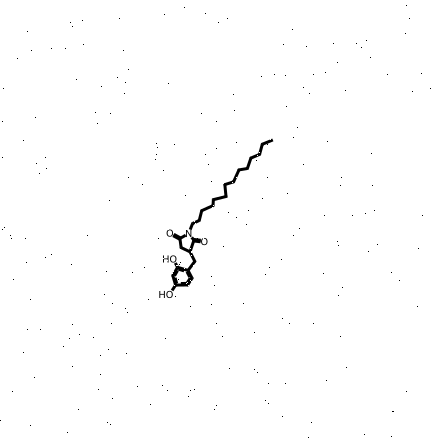 CCCCCCCCCCCCCCN1C(=O)CC(Cc2ccc(O)cc2O)C1=O